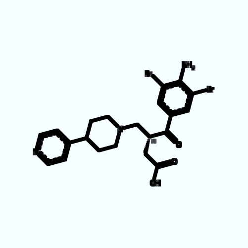 Nc1c(Br)cc(C(=O)[C@H](CC(=O)O)CN2CCC(c3ccncc3)CC2)cc1Br